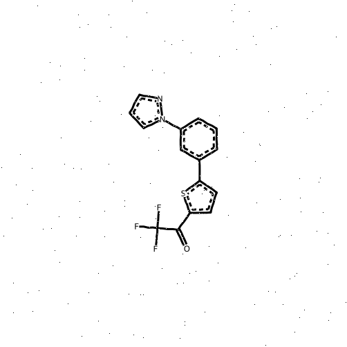 O=C(c1ccc(-c2cccc(-n3cccn3)c2)s1)C(F)(F)F